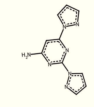 Nc1cc(-n2cccn2)nc(-n2cccn2)n1